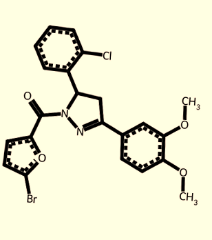 COc1ccc(C2=NN(C(=O)c3ccc(Br)o3)C(c3ccccc3Cl)C2)cc1OC